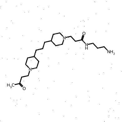 CC(=O)CCN1CCC(CCCC2CCN(CCC(=O)NCCCN)CC2)CC1